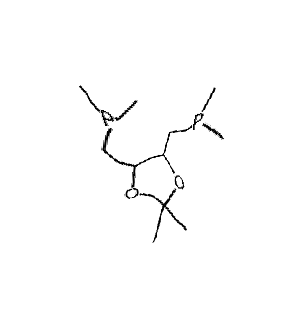 CP(C)CC1OC(C)(C)OC1CP(C)C